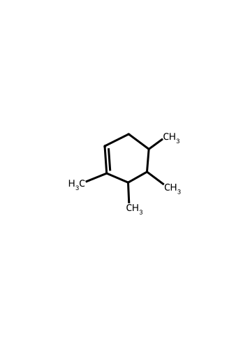 CC1=CCC(C)C(C)C1C